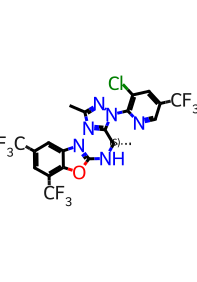 Cc1nc([C@H](C)Nc2nc3cc(C(F)(F)F)cc(C(F)(F)F)c3o2)n(-c2ncc(C(F)(F)F)cc2Cl)n1